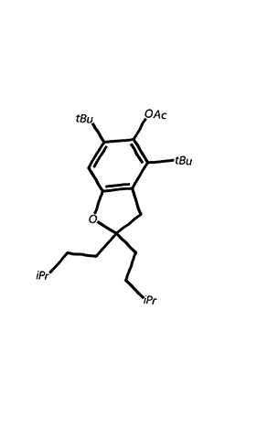 CC(=O)Oc1c(C(C)(C)C)cc2c(c1C(C)(C)C)CC(CCC(C)C)(CCC(C)C)O2